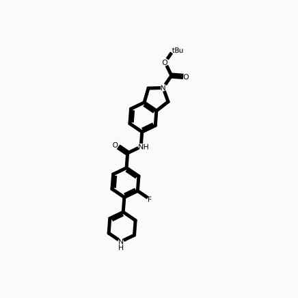 CC(C)(C)OC(=O)N1Cc2ccc(NC(=O)c3ccc(C4=CCNCC4)c(F)c3)cc2C1